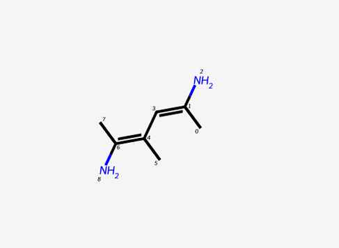 C/C(N)=C\C(C)=C(/C)N